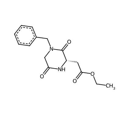 CCOC(=O)C[C@@H]1NC(=O)CN(Cc2ccccc2)C1=O